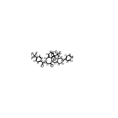 O=C(c1ccc(C(F)(F)F)cc1)N1CC(=O)[N+](CC2CCN(c3ccncc3)CC2)(OC(=O)C(F)(F)F)c2ccccc2C1